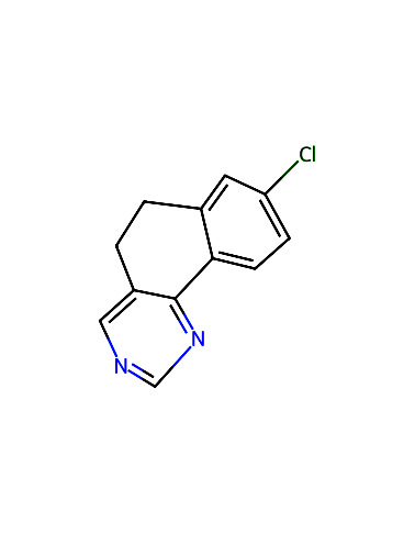 Clc1ccc2c(c1)CCc1cncnc1-2